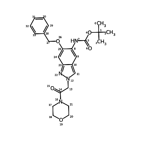 CC(C)(C)OC(=O)Nc1cc2cn(CC(=O)N3CCOCC3)nc2cc1OCc1ccccc1